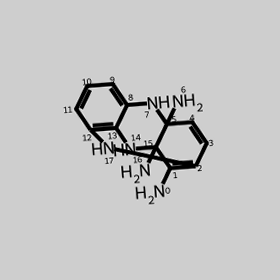 NC1=C2C=CC3(N)Nc4cccc(c4NC13N)N2